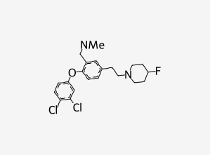 CNCc1cc(CCN2CCC(F)CC2)ccc1Oc1ccc(Cl)c(Cl)c1